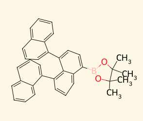 CC1(C)OB(c2ccc(-c3cccc4ccccc34)c3c(-c4cccc5ccccc45)cccc23)OC1(C)C